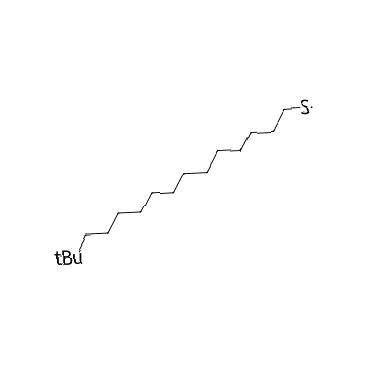 CC(C)(C)CCCCCCCCCCCCC[S]